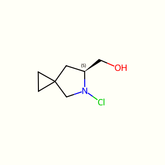 OC[C@@H]1CC2(CC2)CN1Cl